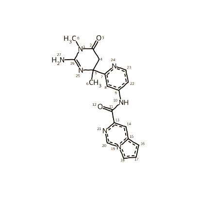 CN1C(=O)CC(C)(c2cc(NC(=O)c3cc4cccn4cn3)ccn2)N=C1N